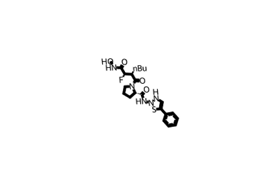 CCCC[C@@H](C(=O)N1CCC[C@H]1C(=O)NN1NC=C(c2ccccc2)S1)[C@@H](F)C(=O)NO